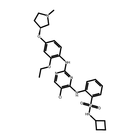 CCOc1cc(O[C@H]2CCN(C)C2)ccc1Nc1ncc(Cl)c(Nc2ccccc2S(=O)(=O)NC2CCC2)n1